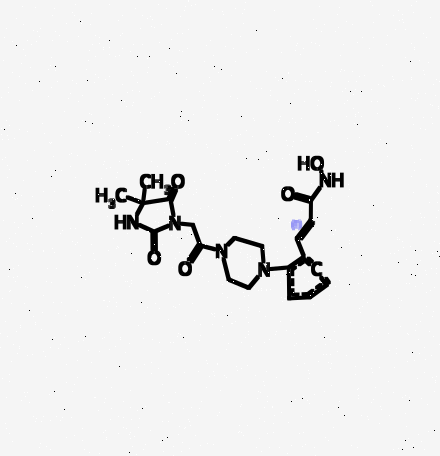 CC1(C)NC(=O)N(CC(=O)N2CCN(c3ccccc3/C=C/C(=O)NO)CC2)C1=O